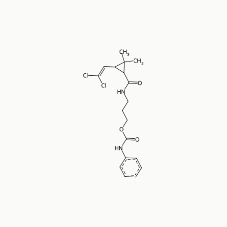 CC1(C)C(C=C(Cl)Cl)C1C(=O)NCCCOC(=O)Nc1ccccc1